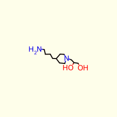 NCCCCC1CCN(CC(O)CO)CC1